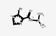 CC(C)c1scnc1C(=O)NN(C)C